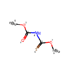 CCCCOC(=O)NC(=S)OCCCC